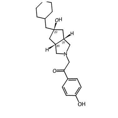 O=C(CN1C[C@@H]2C[C@](O)(CC3CCCCC3)C[C@@H]2C1)c1ccc(O)cc1